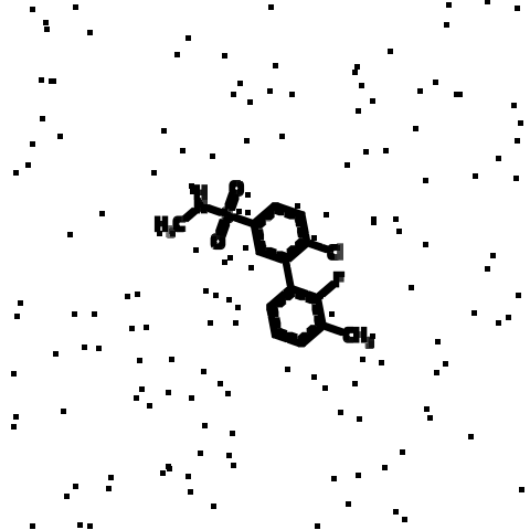 CNS(=O)(=O)c1ccc(Cl)c(-c2cccc(C)c2F)c1